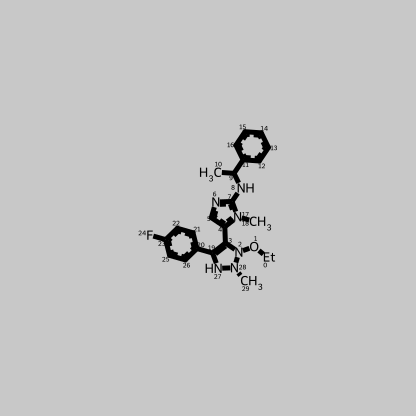 CCON1C(c2cnc(NC(C)c3ccccc3)n2C)=C(c2ccc(F)cc2)NN1C